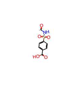 O=[C]NS(=O)(=O)c1ccc(C(=O)O)cc1